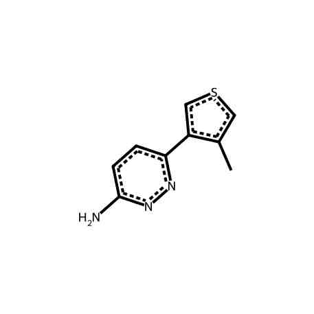 Cc1cscc1-c1ccc(N)nn1